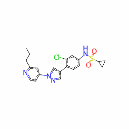 CCCc1cc(-n2cc(-c3ccc(NS(=O)(=O)C4CC4)cc3Cl)cn2)ccn1